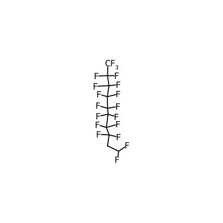 FC(F)CC(F)(F)C(F)(F)C(F)(F)C(F)(F)C(F)(F)C(F)(F)C(F)(F)C(F)(F)F